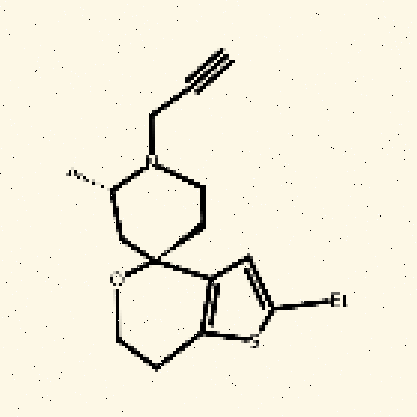 C#CCN1CC[C@]2(C[C@@H]1C)OCCc1sc(CC)cc12